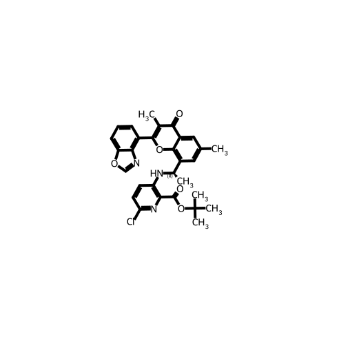 Cc1cc([C@@H](C)Nc2ccc(Cl)nc2C(=O)OC(C)(C)C)c2oc(-c3cccc4ocnc34)c(C)c(=O)c2c1